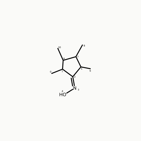 CC1C(=NO)C(C)C(C)C1C